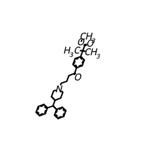 COC(=O)C(C)(C)c1ccc(C(=O)CCCN2CCC(C(c3ccccc3)c3ccccc3)CC2)cc1